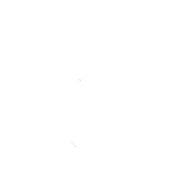 CCCCC(=O)Nc1cccc(C2CN(C)Cc3c(Cl)cc(Cl)cc32)c1